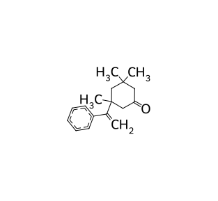 C=C(c1ccccc1)C1(C)CC(=O)CC(C)(C)C1